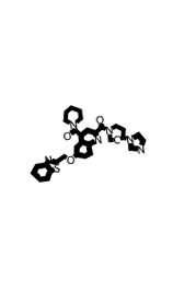 O=C(c1cc(C(=O)N2CCCCC2)c2cc(OCc3nc4ccccc4s3)ccc2n1)N1CCC(n2ccnc2)CC1